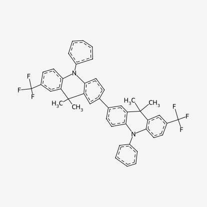 CC1(C)c2cc(-c3ccc4c(c3)C(C)(C)c3cc(C(F)(F)F)ccc3N4c3ccccc3)ccc2N(c2ccccc2)c2ccc(C(F)(F)F)cc21